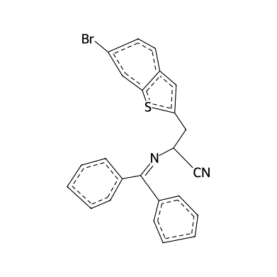 N#CC(Cc1cc2ccc(Br)cc2s1)N=C(c1ccccc1)c1ccccc1